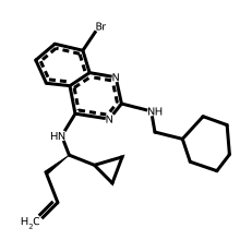 C=CC[C@@H](Nc1nc(NCC2CCCCC2)nc2c(Br)cccc12)C1CC1